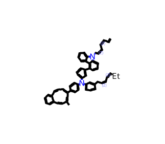 C=C/C=C\C=C/Cn1c2ccccc2c2c(-c3cccc(N(c4ccc(-c5cccc6ccccc6ccc(C)c5)cc4)c4cccc(C/C=C\C=C/CC)c4)c3)cccc21